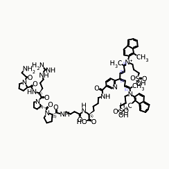 C\C(=C/C=C(/C=C/C(C)=[N+](\CCCS(=O)(=O)O)c1ccc2ccccc2c1C)c1ccc(C(=O)NCCCC[C@H](NC(=O)CCCNC(=O)[C@@H]2CCCN2C(=O)[C@@H]2CCCN2C(=O)[C@H](CCCNC(=N)N)NC(=O)C2CCCN2C(=O)CN)C(=O)O)cn1)N(CCCS(=O)(=O)O)c1ccc2ccccc2c1C